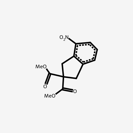 COC(=O)C1(C(=O)OC)Cc2cccc([N+](=O)[O-])c2C1